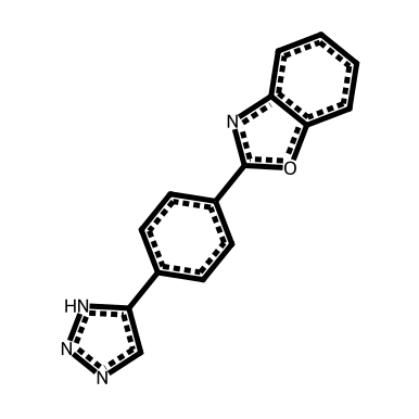 c1ccc2oc(-c3ccc(-c4cnn[nH]4)cc3)nc2c1